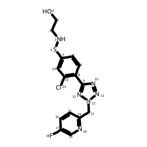 OCCNSc1ccc(-c2nnn(Cc3ccc(F)cn3)n2)c(Cl)c1